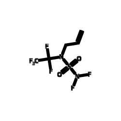 C=CCN(C(F)(F)C(F)(F)F)S(=O)(=O)N(F)F